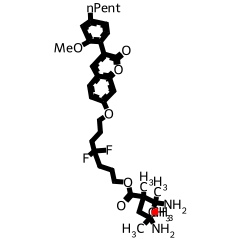 CCCCCc1ccc(-c2cc3ccc(OCCCC(F)(F)CCCOC(=O)C(C)(CC(C)(C)N)C(C)(C)N)cc3oc2=O)c(OC)c1